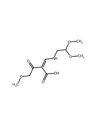 COCC(=O)C(=CNCC(OC)OC)C(=O)O